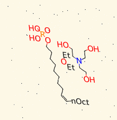 CCCCCCCC/C=C\CCCCCCCCOP(=O)(O)O.CCOCC.OCCN(CCO)CCO